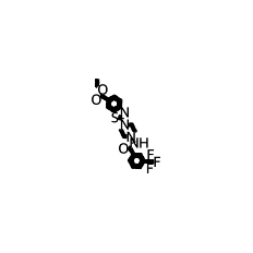 CCOC(=O)c1ccc2nc(N3CCN(NC(=O)c4cccc(C(F)(F)F)c4)CC3)sc2c1